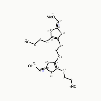 [C-]#[N+]CCSC1=C(SCSC2=C(SCCC#N)S/C(=C\OC)S2)S/C(=C\C=O)S1